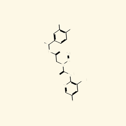 Cc1cc(F)cnc1NC(=O)N(CC(=O)N[C@@H](C)c1ccc(Cl)c(F)c1)N=N